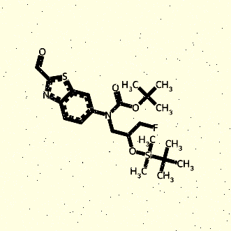 CC(C)(C)OC(=O)N(CC(CF)O[Si](C)(C)C(C)(C)C)c1ccc2nc(C=O)sc2c1